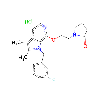 Cc1c(C)n(Cc2cccc(F)c2)c2c(OCCN3CCCC3=O)nccc12.Cl